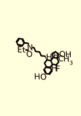 CCC(=O)N(CCCCC[C@@H]1Cc2cc(O)ccc2[C@@H]2[C@@H]1[C@@H]1CC[C@H](O)[C@@]1(C)C[C@@H]2F)Cc1ccccc1